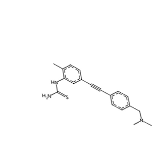 Cc1ccc(C#Cc2ccc(CN(C)C)cc2)cc1NC(N)=S